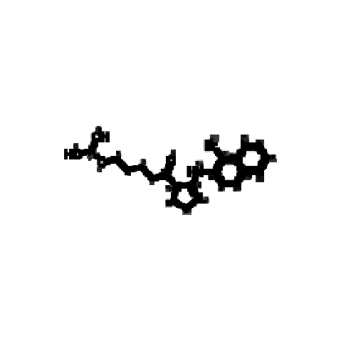 O=C(CCCCON(O)O)N1CCN=C1Nc1ccc2nccnc2c1Br